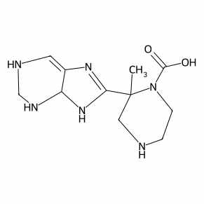 CC1(C2=NC3=CNCNC3N2)CNCCN1C(=O)O